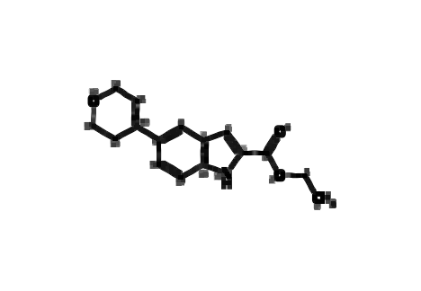 CCOC(=O)c1cc2cc(C3=CCOCC3)ccc2[nH]1